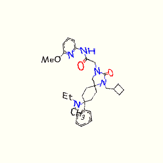 CCN(C)C1(c2ccccc2)CCC2(CC1)CN(CC(=O)Nc1cccc(OC)n1)C(=O)N2CC1CCC1